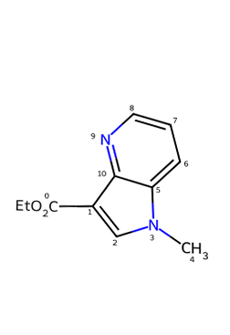 CCOC(=O)c1cn(C)c2cccnc12